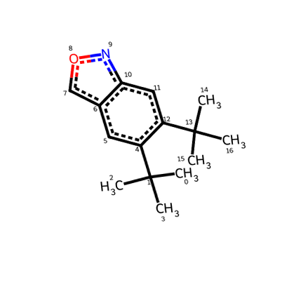 CC(C)(C)c1cc2conc2cc1C(C)(C)C